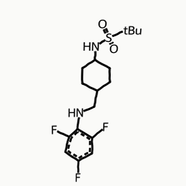 CC(C)(C)S(=O)(=O)NC1CCC(CNc2c(F)cc(F)cc2F)CC1